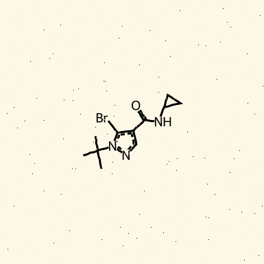 CC(C)(C)n1ncc(C(=O)NC2CC2)c1Br